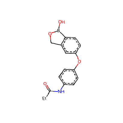 CCC(=O)Nc1ccc(Oc2ccc3c(c2)COB3O)cc1